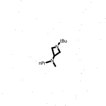 CCCN(C)C1CN(C(C)(C)C)C1